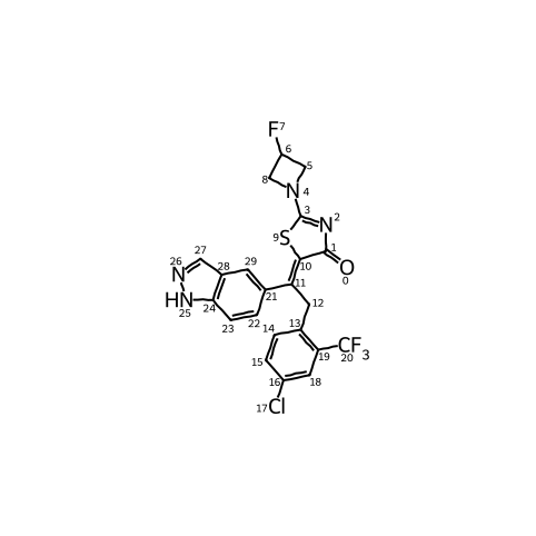 O=C1N=C(N2CC(F)C2)SC1=C(Cc1ccc(Cl)cc1C(F)(F)F)c1ccc2[nH]ncc2c1